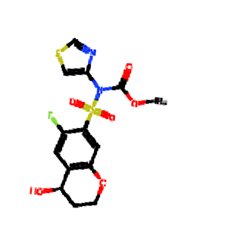 CC(C)(C)OC(=O)N(c1cscn1)S(=O)(=O)c1cc2c(cc1F)[C@H](O)CCO2